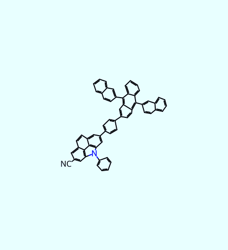 N#Cc1cc2ccc3cc(-c4ccc(-c5ccc6c(-c7ccc8ccccc8c7)c7ccccc7c(-c7ccc8ccccc8c7)c6c5)cc4)cc4c3c2c(c1)n4-c1ccccc1